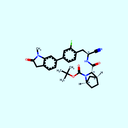 CN1C(=O)Cc2ccc(-c3ccc(C[C@@H](C#N)NC(=O)[C@@H]4[C@H]5CC[C@H](C5)N4C(=O)OC(C)(C)C)c(F)c3)cc21